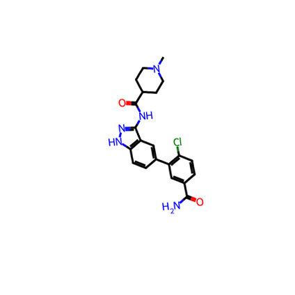 CN1CCC(C(=O)Nc2n[nH]c3ccc(-c4cc(C(N)=O)ccc4Cl)cc23)CC1